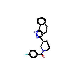 O=C(c1ccc(F)cc1)N1CCCC(c2n[nH]c3c2CCc2ccccc2-3)C1